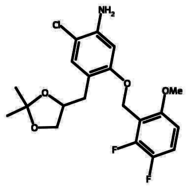 COc1ccc(F)c(F)c1COc1cc(N)c(Cl)cc1CC1COC(C)(C)O1